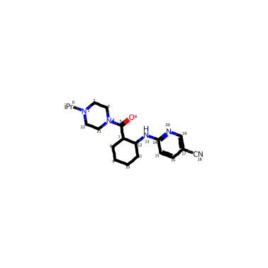 CC(C)N1CCN(C(=O)C2CCCCC2Nc2ccc(C#N)cn2)CC1